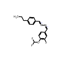 CCCc1ccc(/C=N/N=C\c2ccc(OC(F)F)c(F)c2)cc1